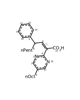 CCCCCCCCc1cnc(/C(=C\C(CCCCC)c2ccccc2)C(=O)O)nc1